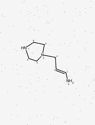 NC=CCN1CCNCC1